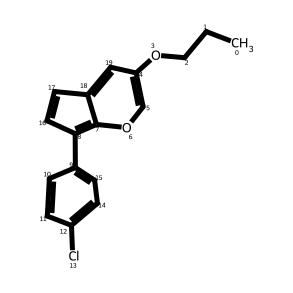 C[CH]COc1coc2c(-c3ccc(Cl)cc3)ccc-2c1